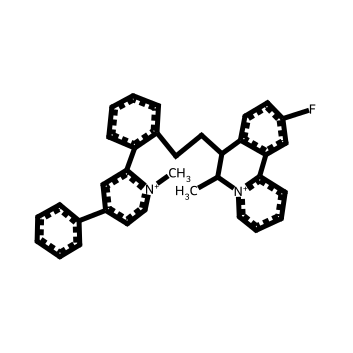 CC1C(CCc2ccccc2-c2cc(-c3ccccc3)cc[n+]2C)c2ccc(F)cc2-c2cccc[n+]21